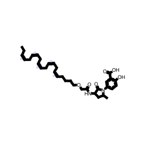 CC/C=C\C/C=C\C/C=C\C/C=C\C/C=C\CCCCOCC(=O)NC1CC(C)N(c2ccc(O)c(C(=O)O)c2)C1=O